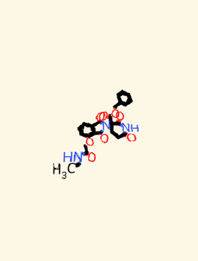 CCNC(=O)COc1cccc2c1C(=O)N(C1(C(=O)OCc3ccccc3)CCC(=O)NC1=O)C2=O